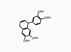 COc1ccc(C2C=CCc3cc(OC)c(OC)cc32)cc1OC